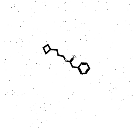 O=C(Cc1ccccc1)[N]CCCC1CCC1